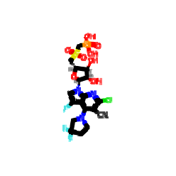 N#Cc1c(Cl)nc2c(c(F)cn2[C@@H]2O[C@H](CS(=O)(=O)CP(=O)(O)O)[C@@H](O)[C@H]2O)c1N1CCC(F)(F)C1